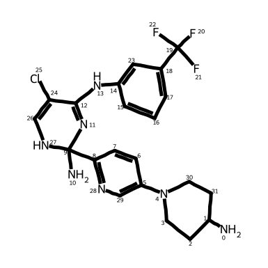 NC1CCN(c2ccc(C3(N)N=C(Nc4cccc(C(F)(F)F)c4)C(Cl)=CN3)nc2)CC1